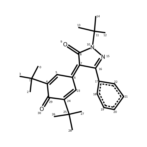 CC(C)(C)C1=CC(=C2C(=O)N(C(C)(C)C)N=C2c2ccccc2)C=C(C(C)(C)C)C1=O